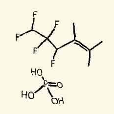 CC(C)=C(C)C(F)C(F)(F)C(F)F.O=P(O)(O)O